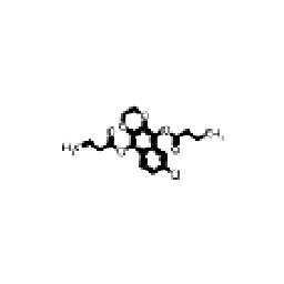 CCCC(=O)Oc1c2c(c(OC(=O)CCC)c3cc(Cl)ccc13)OCCO2